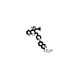 O=C(O)c1cc2ccc(N3CCC(/C=C/c4c(-c5cccnc5C(F)(F)F)noc4C4CC4)CC3)cc2cn1